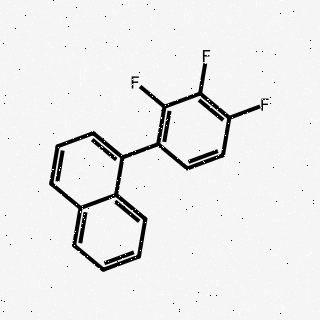 Fc1ccc(-c2cccc3ccccc23)c(F)c1F